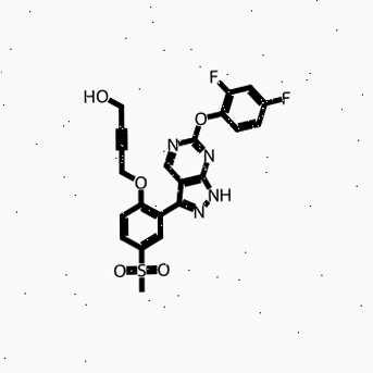 CS(=O)(=O)c1ccc(OCC#CCO)c(-c2n[nH]c3nc(Oc4ccc(F)cc4F)ncc23)c1